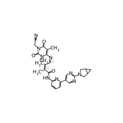 CC(/C=N\c1c(C)c(=O)n(CC#N)c(=O)n1C)=C(\C)C(=O)Nc1cccc(-c2cnc(N3CC4CC4C3)nc2)n1